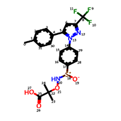 Cc1ccc(-c2cc(C(F)(F)F)nn2-c2ccc([S+]([O-])NOC(C)(C)C(=O)O)cc2)cc1